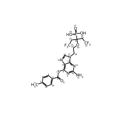 Cc1ccc(C(=O)Sc2nc(N)nc3c2ncn3CCOC(CC(F)(F)F)(CC(F)(F)F)P(=O)(O)O)cc1